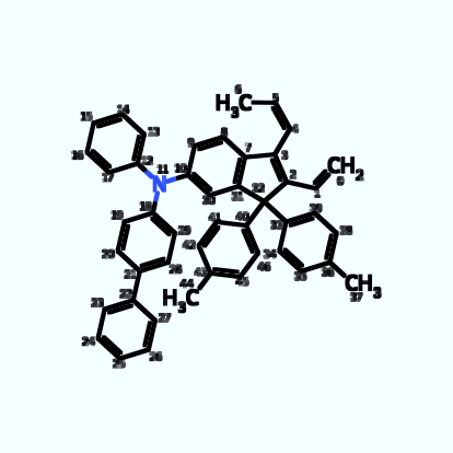 C=CC1=C(/C=C\C)c2ccc(N(c3ccccc3)c3ccc(-c4ccccc4)cc3)cc2C1(c1ccc(C)cc1)c1ccc(C)cc1